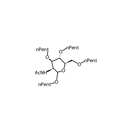 CCCCCOC[C@H]1OC(OCCCCC)[C@@H](NC(C)=O)[C@@H](OCCCCC)[C@@H]1OCCCCC